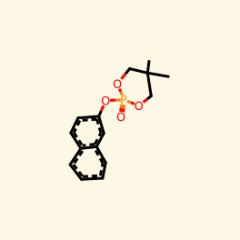 CC1(C)COP(=O)(Oc2ccc3ccccc3c2)OC1